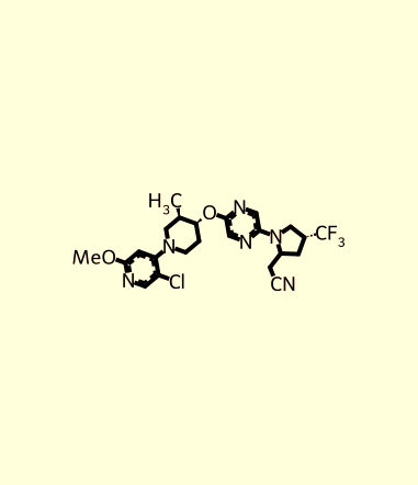 COc1cc(N2CC[C@@H](Oc3cnc(N4C[C@H](C(F)(F)F)CC4CC#N)cn3)[C@H](C)C2)c(Cl)cn1